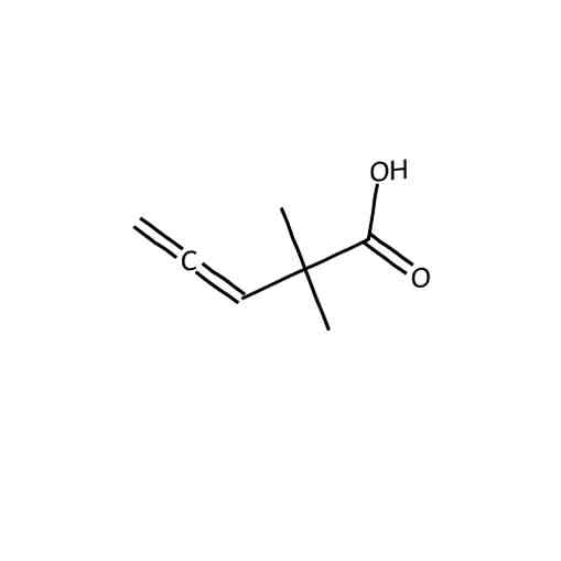 C=C=CC(C)(C)C(=O)O